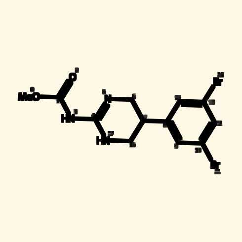 COC(=O)NC1=NCC(c2cc(Br)cc(Br)c2)CN1